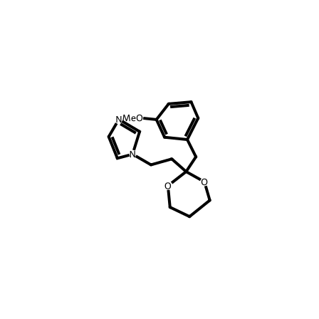 COc1cccc(CC2(CCn3ccnc3)OCCCO2)c1